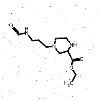 CCOC(=O)C1CN(CCCN[C]=O)CCN1